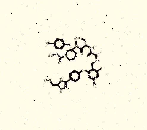 CNCC1NC=C(c2ccc(Oc3cc(Cl)cc(F)c3CN[C@@H](C)C(=O)N[C@@H](COC)C(=O)N(C)[C@@]3(Cc4ccc(Cl)cc4)CCCN(C(=O)OC(C)(C)C)C3)cc2)N1